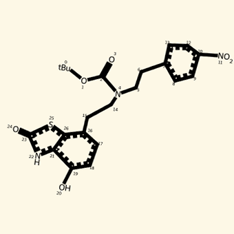 CC(C)(C)OC(=O)N(CCc1ccc([N+](=O)[O-])cc1)CCc1ccc(O)c2[nH]c(=O)sc12